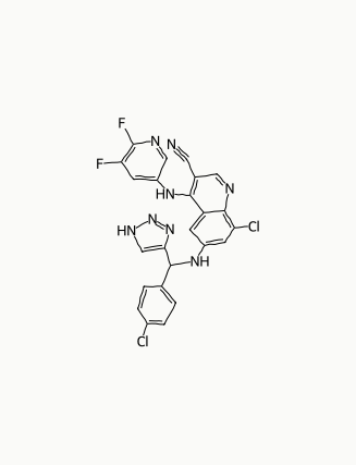 N#Cc1cnc2c(Cl)cc(NC(c3ccc(Cl)cc3)c3c[nH]nn3)cc2c1Nc1cnc(F)c(F)c1